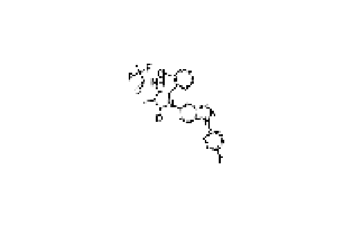 C[C@@H]1C(=O)N(c2ccc3c(cnn3-c3ccc(F)cc3)c2)C(c2ccccc2Cl)[C@H]1NC(=O)C(C)(F)F